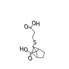 O=C(O)CCSCC1(C(=O)O)C2CCC1CC2